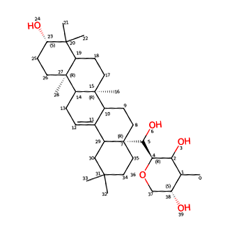 CC1C(O)[C@H](C(O)[C@@]23CCC4C(=CCC5[C@@]4(C)CCC4C(C)(C)[C@@H](O)CC[C@@]45C)C2CC(C)(C)CC3)OC[C@H]1O